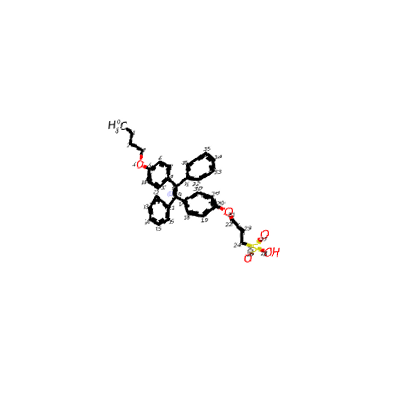 CCCCOc1ccc(/C(=C(\c2ccccc2)c2ccc(OCCCS(=O)(=O)O)cc2)c2ccccc2)cc1